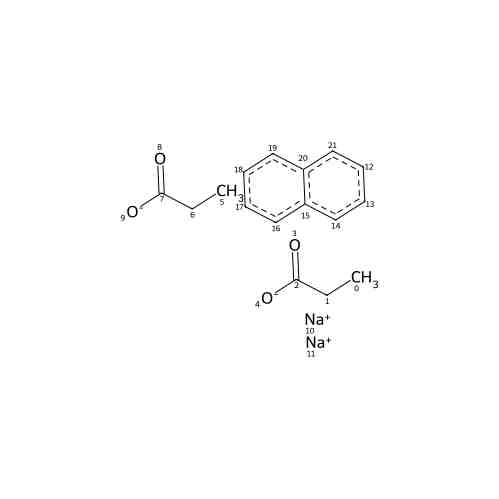 CCC(=O)[O-].CCC(=O)[O-].[Na+].[Na+].c1ccc2ccccc2c1